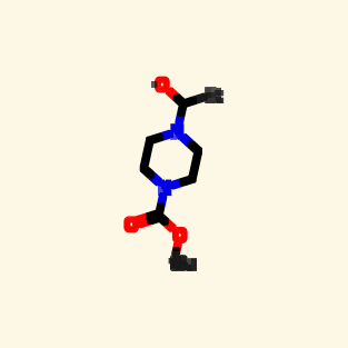 CCC([O])N1CCN(C(=O)OC(C)(C)C)CC1